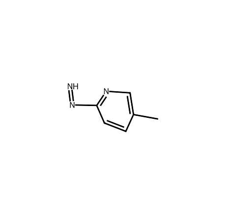 Cc1ccc(N=N)nc1